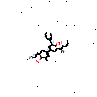 C/C=C\C=C(/CC)CC/C(=C\C(CO)C(/C=C\C)=C/C)C1=CC(C)C(O)C(/C=C/CC)=C1